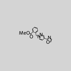 COC(=O)c1ccccc1C[n+]1ccc(-c2ncco2)cn1